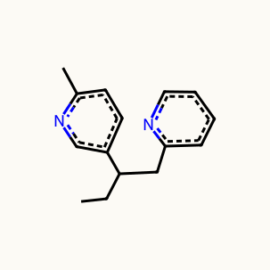 CCC(Cc1ccccn1)c1ccc(C)nc1